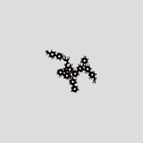 C=Cc1ccc(-c2ccc(OCC(C)CCCCC3(c4cc(C)ccc4C)c4ccccc4-c4ccc(N(c5ccc(-c6ccccc6)cc5)c5ccc(-c6ccc7c(c6)c6cc(-c8ccc(C=C)cc8)ccc6n7-c6ccccc6)cc5)cc43)cc2)cc1